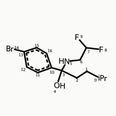 CC(C)CCC(O)(NCC(F)F)c1ccc(Br)cc1